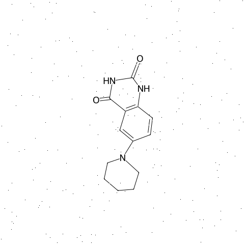 O=c1[nH]c(=O)c2cc(N3CCCCC3)ccc2[nH]1